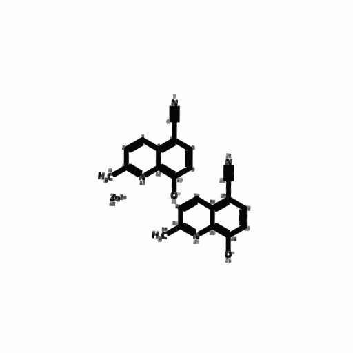 Cc1ccc2c(C#N)ccc([O-])c2n1.Cc1ccc2c(C#N)ccc([O-])c2n1.[Zn+2]